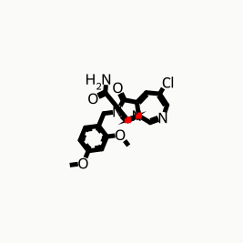 COc1ccc(CN2C(=O)C3=CC(Cl)=CN=CC34C=NC(C(N)=O)CC24)c(OC)c1